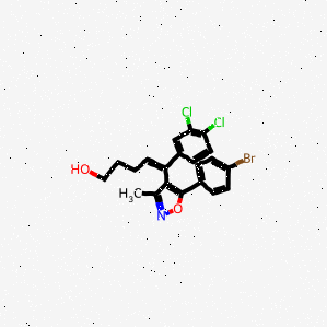 Cc1noc(-c2ccc(Br)cc2)c1/C(=C\CCCO)c1ccc(Cl)c(Cl)c1